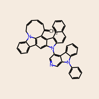 C=C1/C=C\C=C/Cn2c3ccccc3c3cc4c(c1c32)c1c2ccccc2ccc1n4-c1cncc2c1c1ccccc1n2-c1ccccc1